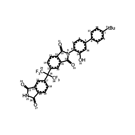 CC(C)(C)c1ccc(-c2ccc(N3C(=O)c4ccc(C(c5ccc6c(c5)C(=O)NC6=O)(C(F)(F)F)C(F)(F)F)cc4C3=O)c(O)c2)cc1